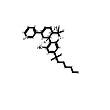 CCCCCCC(C)(C)c1cc(O)c2c(c1)OC(C)(C)[C@@H]1CC=C(c3cccnc3)C[C@@H]21